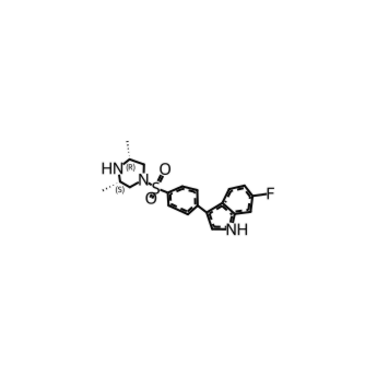 C[C@@H]1CN(S(=O)(=O)c2ccc(-c3c[nH]c4cc(F)ccc34)cc2)C[C@H](C)N1